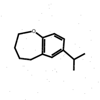 CC(C)c1ccc2c(c1)CCCCO2